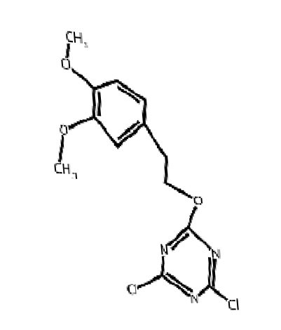 COc1ccc(CCOc2nc(Cl)nc(Cl)n2)cc1OC